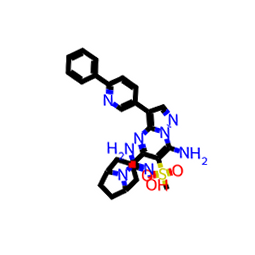 CS(=O)(=O)c1c(C2CC3CCC(C2)N3C(N)=NO)nc2c(-c3ccc(-c4ccccc4)nc3)cnn2c1N